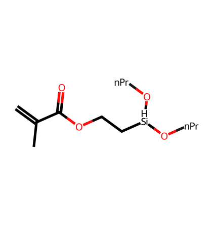 C=C(C)C(=O)OCC[SiH](OCCC)OCCC